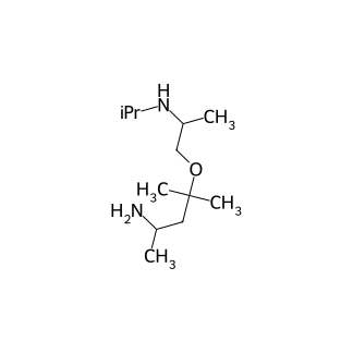 CC(N)CC(C)(C)OCC(C)NC(C)C